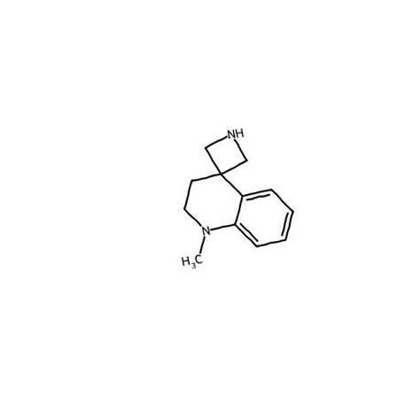 CN1CCC2(CNC2)c2ccccc21